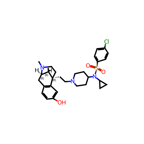 C[C@H]1[C@H]2Cc3ccc(O)cc3[C@]1(CCN1CCC(N(C3CC3)S(=O)(=O)c3ccc(Cl)cc3)CC1)CCN2C